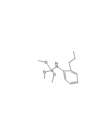 CCCc1ccccc1N[Si](OC)(OC)OC